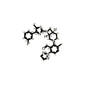 Cc1ccc(-n2nccn2)c(C=O)c1N1CC[C@@H]2CN(c3nc(-c4cccc(F)c4)c(C)s3)[C@@H]2C1